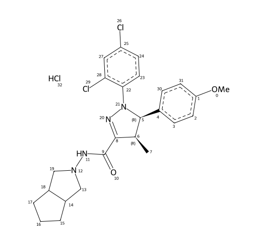 COc1ccc([C@H]2[C@@H](C)C(C(=O)NN3CC4CCCC4C3)=NN2c2ccc(Cl)cc2Cl)cc1.Cl